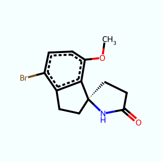 COc1ccc(Br)c2c1[C@]1(CCC(=O)N1)CC2